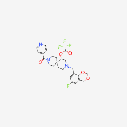 O=C(c1ccncc1)N1CCC2(CCN(Cc3cc(F)cc4c3OCOC4)CC2OC(=O)C(F)(F)F)CC1